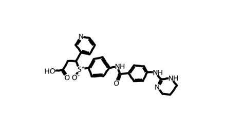 O=C(O)CC(c1cccnc1)[S+]([O-])c1ccc(NC(=O)c2ccc(NC3=NCCCN3)cc2)cc1